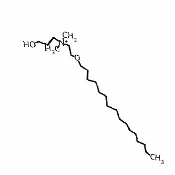 CCCCCCCCCCCCCCCCOCC[N+](C)(C)CCCO